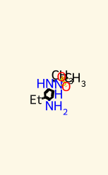 CCc1cc(NC(C)NS(C)(=O)=O)ccc1N